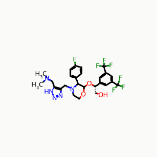 CN(C)Cc1[nH]nnc1CN1CCOC(O[C@@H](CO)c2cc(C(F)(F)F)cc(C(F)(F)F)c2)C1c1ccc(F)cc1